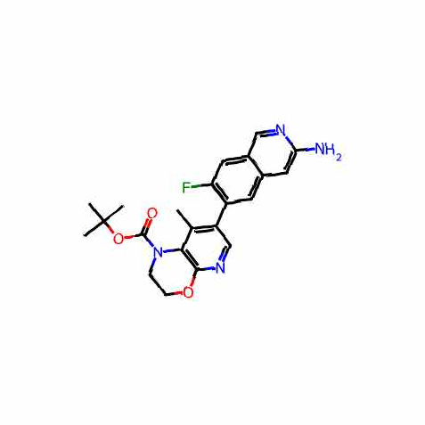 Cc1c(-c2cc3cc(N)ncc3cc2F)cnc2c1N(C(=O)OC(C)(C)C)CCO2